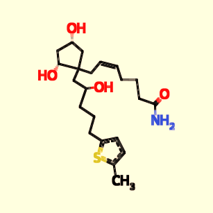 Cc1ccc(CCCC(O)CC2(C/C=C\CCCC(N)=O)C[C@@H](O)C[C@H]2O)s1